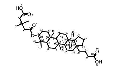 CC(C)(CC(=O)O)CC(=O)O[C@H]1CC[C@@]2(C)C(CC[C@]3(C)C2CC[C@@H]2[C@H]4CCC[C@]4(CCCC(=O)O)CC[C@]23C)C1(C)C